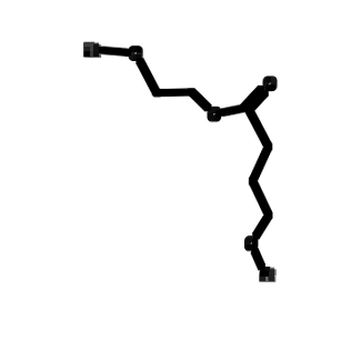 CCOCCCC(=O)OCCOCC